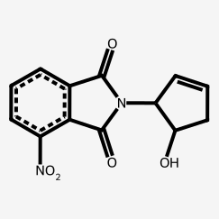 O=C1c2cccc([N+](=O)[O-])c2C(=O)N1C1C=CCC1O